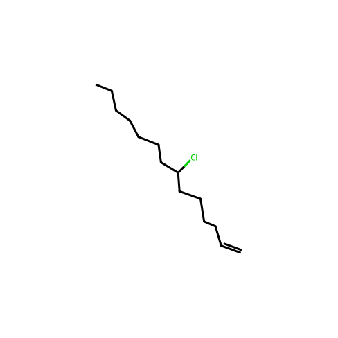 C=CCCCCC(Cl)CCCCCCC